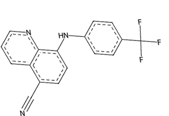 N#Cc1ccc(Nc2ccc(C(F)(F)F)cc2)c2ncccc12